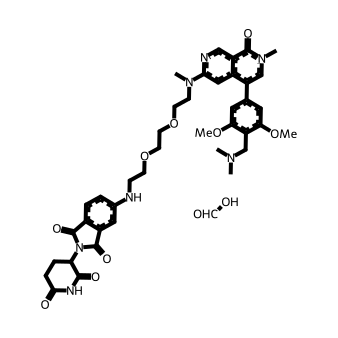 COc1cc(-c2cn(C)c(=O)c3cnc(N(C)CCOCCOCCNc4ccc5c(c4)C(=O)N(C4CCC(=O)NC4=O)C5=O)cc23)cc(OC)c1CN(C)C.O=CO